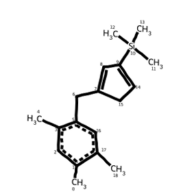 Cc1cc(C)c(CC2=CC([Si](C)(C)C)=CC2)cc1C